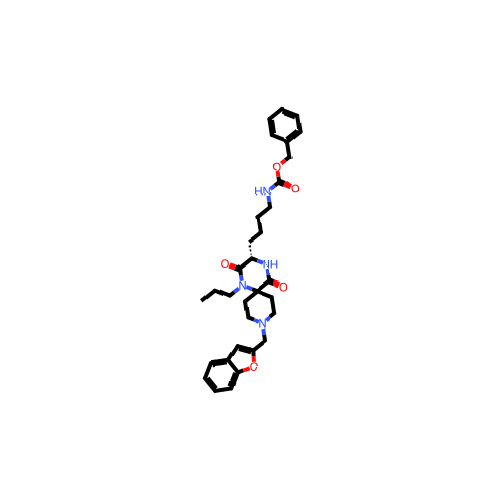 CCCN1C(=O)[C@H](CCCCNC(=O)OCc2ccccc2)NC(=O)C12CCN(Cc1cc3ccccc3o1)CC2